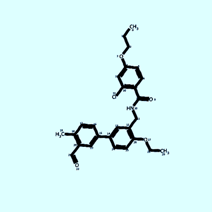 CCCOc1ccc(C(=O)NCc2cc(-c3ccc(C)c(C=O)c3)ccc2OCC)c(Cl)c1